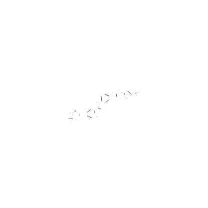 Cc1cc(CC(=O)Nc2cc(C(C)(C)C)on2)ccc1NC(=O)c1ccc(OC2CC(C)(C)N(C)C(C)(C)C2)cn1